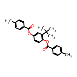 Cc1ccc(C(=O)Oc2ccc(OC(=O)c3ccc(C)cc3)c(C(C)(C)C)c2)cc1